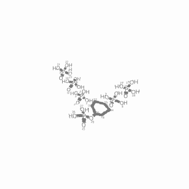 O=P(O)(O)O.O=P(O)(O)O.O=P(O)(O)O.O=P(O)(O)O.O=P(O)(O)O.O=P(O)(O)OC1CCCCC1